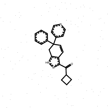 O=C(c1n[nH]c2c1C=CC(c1ccccc1)(c1ccncc1)C2)C1CCC1